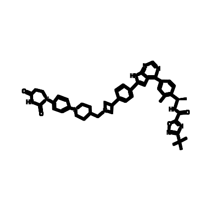 Cc1cc(-c2ncnc3[nH]c(-c4ccc(C5CN(CC6CCN(c7ccc(N8CCC(=O)NC8=O)cc7)CC6)C5)cc4)cc23)ccc1[C@@H](C)NC(=O)c1nc(C(C)(C)C)no1